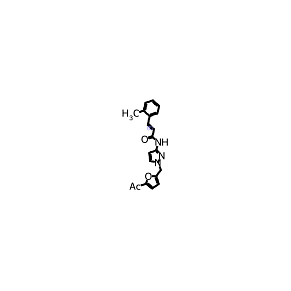 CC(=O)c1ccc(Cn2ccc(NC(=O)/C=C/c3ccccc3C)n2)o1